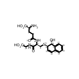 N[C@@H](CCC(=O)N[C@@H](CS[C@@H]1C=Cc2ccccc2[C@H]1O)C(=O)NCC(=O)O)C(=O)O